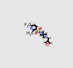 Cc1nc(C(F)(F)F)ccc1S(=O)(=O)N1CC2(CN(CC3COC3)C2)C1